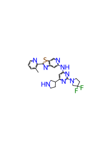 Cc1cccnc1-c1nc2cc(Nc3cc(C4CCNC4)nc(N4CCC(F)(F)C4)n3)ncc2s1